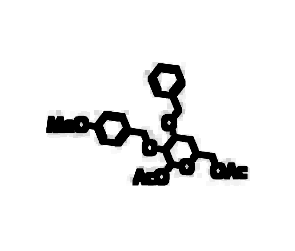 COc1ccc(COC2C(OC(C)=O)OC(COC(C)=O)C[C@H]2OCc2ccccc2)cc1